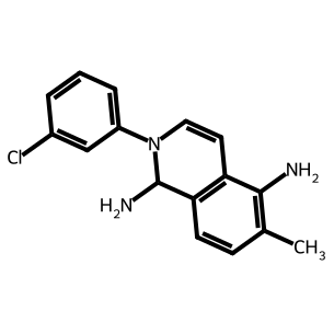 Cc1ccc2c(c1N)C=CN(c1cccc(Cl)c1)C2N